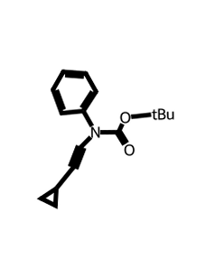 CC(C)(C)OC(=O)N(C#CC1CC1)c1ccccc1